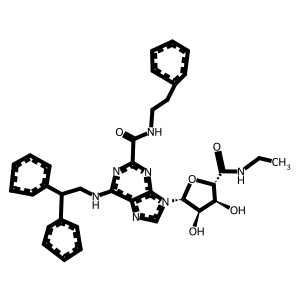 CCNC(=O)[C@H]1O[C@@H](n2cnc3c(NCC(c4ccccc4)c4ccccc4)nc(C(=O)NCCc4ccccc4)nc32)[C@H](O)[C@@H]1O